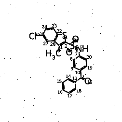 Cc1c(S(=O)(=O)Nc2ccc(C(=O)c3ccccc3)cc2)sc2ccc(Cl)cc12